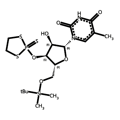 Cc1cn([C@@H]2O[C@H](CO[Si](C)(C)C(C)(C)C)[C@@H](OP3(=S)SCCS3)[C@H]2O)c(=O)[nH]c1=O